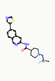 C[C@@H](F)CN1CCC(C(=O)Nc2cc3cc(-c4cncs4)ccc3cn2)CC1